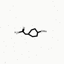 COC1CCC([CH]C(N)=O)CC1